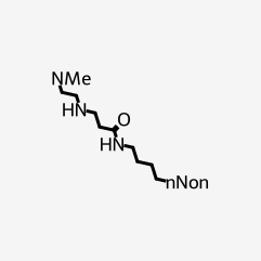 CCCCCCCCCCCCCNC(=O)CCNCCNC